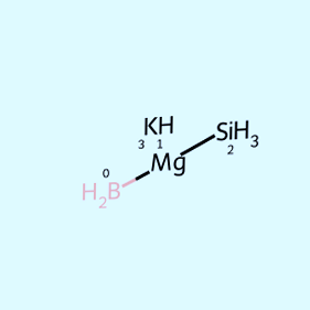 [BH2][Mg][SiH3].[KH]